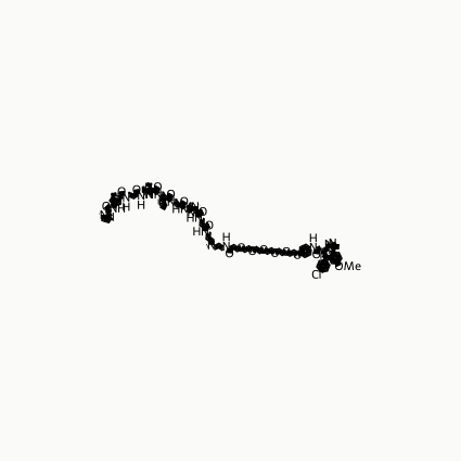 C=CN(C)/C(=C\NC(=O)c1nc(NC(=O)CCNC(=O)c2cc(NC(=O)c3nccn3C)cn2C)cn1C)C(=O)NCCC(=O)Nc1cn(C)c(C(=O)NCCC(=O)NCCCN(C)CCCNC(=O)CCOCCOCCOCCOCCOCCOc2ccc(NC(=O)C[C@H]3N=C(c4ccc(Cl)cc4)c4cc(OC)ccc4-n4c(C)nnc43)cc2)n1